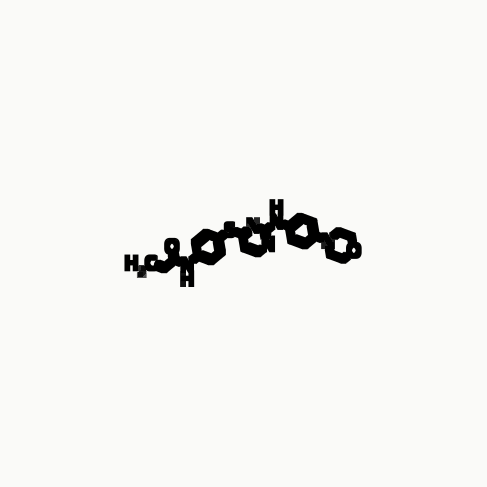 C=CC(=O)Nc1ccc(Sc2ccnc(Nc3ccc(N4CCOCC4)cc3)n2)cc1